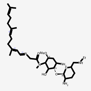 CCNCC1CCC(N)[C@@H](O[C@H]2C(N)C[C@H](OC)C(N(C)C(=O)C/N=C/C=C(\C)CC/C=C(\C)CCC=C(C)C)C2O)O1